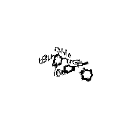 COc1c(CN(C)c2ccccc2P(C)(=O)c2ccccc2)cc(C(C)(C)C)cc1C(C)(C)C